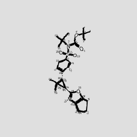 CC(C)(C)OC(=O)N(C(C)(C)C)S(=O)(=O)c1ccc([C@@H]2[C@@H](c3nc4c(o3)CCC4)C2(C)C)cc1